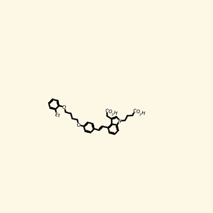 CCc1ccccc1OCCCCOc1ccc(C=Cc2cccc3c2c(CC(=O)O)cn3CCCC(=O)O)cc1